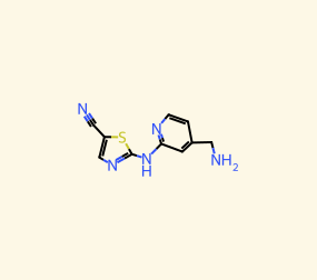 N#Cc1cnc(Nc2cc(CN)ccn2)s1